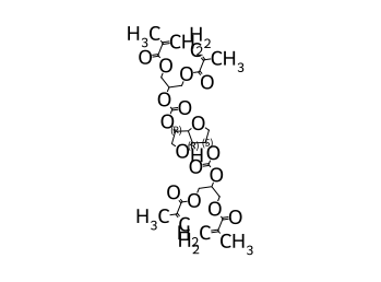 C=C(C)C(=O)OCC(COC(=O)C(=C)C)OC(=O)O[C@H]1COC2[C@H](OC(=O)OC(COC(=O)C(=C)C)COC(=O)C(=C)C)CO[C@@H]21